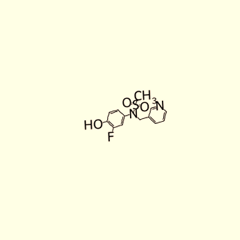 CS(=O)(=O)N(Cc1cccnc1)c1ccc(O)c(F)c1